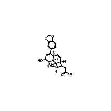 O=C(O)C[C@@H]1[C@H]2C=C[C@H]3C(c4ccc5c(c4)OCO5)=C[C@@H](O)[C@@H]4C[C@H]1[C@@H]2[C@H]43